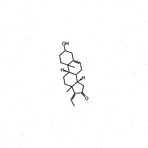 C/C=C1\C(=O)C[C@H]2C3CC=C4CC(O)CCC4(C)[C@H]3CCC12C